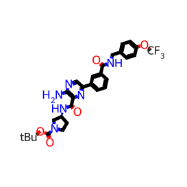 CC(C)(C)OC(=O)N1CC[C@H](NC(=O)c2nc(-c3cccc(C(=O)NCc4ccc(OC(F)(F)F)cc4)c3)cnc2N)C1